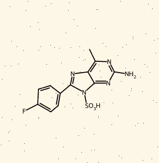 Cc1nc(N)nc2c1nc(-c1ccc(F)cc1)n2S(=O)(=O)O